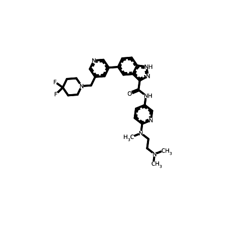 CN(C)CCN(C)c1ccc(NC(=O)c2n[nH]c3ccc(-c4cncc(CN5CCC(F)(F)CC5)c4)cc23)cn1